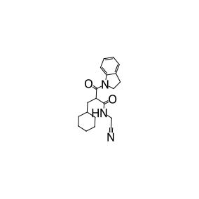 N#CCNC(=O)C(CC1CCCCC1)C(=O)N1CCc2ccccc21